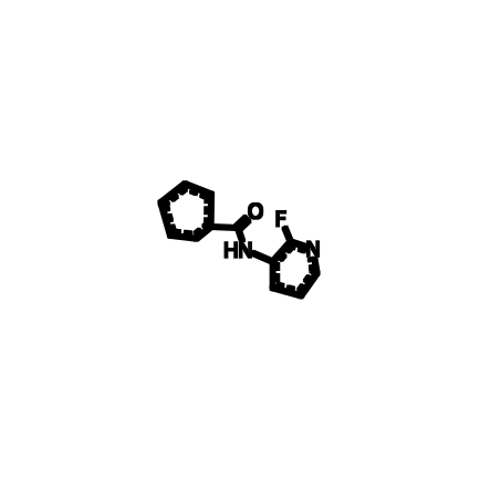 O=C(Nc1cccnc1F)c1ccccc1